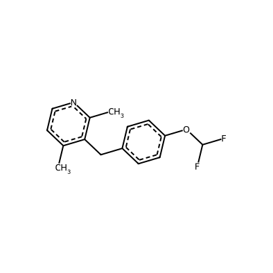 Cc1ccnc(C)c1Cc1ccc(OC(F)F)cc1